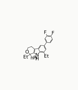 CCCC1(CC)OCCc2c1[nH]c1c(CC)cc(-c3ccc(F)c(F)c3)cc21